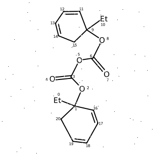 CCC1(OC(=O)OC(=O)OC2(CC)C=CC=CC2)C=CC=CC1